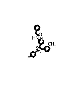 Cc1cccc(-c2nc(-c3ccc(F)cc3)sc2-c2ccnc(NC(=O)Cc3ccccc3)c2)c1